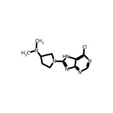 CN(C)C1CCN(c2nc3ncnc(Cl)c3[nH]2)C1